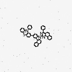 c1ccc(-c2nc(-n3c4ccc(-c5ccc6c(c5)N(c5ccccc5)c5ccccc5S6)cc4c4c5ccccc5ccc43)nc3c2ccc2ccccc23)cc1